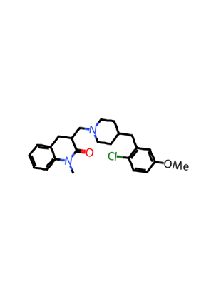 COc1ccc(Cl)c(CC2CCN(CC3Cc4ccccc4N(C)C3=O)CC2)c1